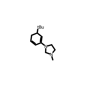 CN1CCN(C2=CC(C(C)(C)C)CC=C2)C1